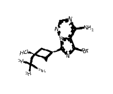 [2H]C([2H])([2H])[C@]1(O)C[C@@H](c2nc(Br)c3c(N)ncnn32)C1